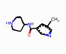 Cc1cncc(C(=O)NC2CCNCC2)c1